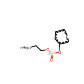 CCCCCCCCCO[PH](=O)Oc1ccccc1